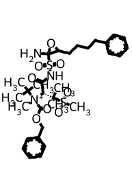 CC(C)(C)[N+](C)(C(=O)OCc1ccccc1)[C@H](C(=O)NS(=O)(=O)C1(N)OC1CCCCc1ccccc1)C(C)(C)S(C)(=O)=O